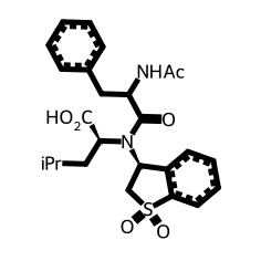 CC(=O)NC(Cc1ccccc1)C(=O)N([C@@H]1CS(=O)(=O)c2ccccc21)[C@@H](CC(C)C)C(=O)O